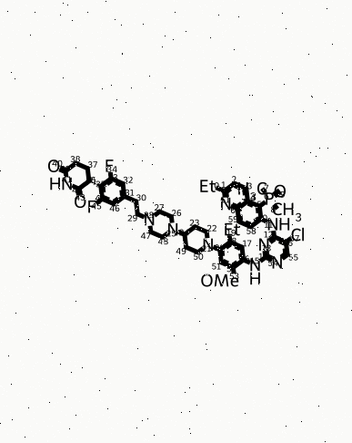 CCc1ccc2c(P(C)(C)=O)c(Nc3nc(Nc4cc(CC)c(N5CCC(N6CCN(CCc7cc(F)c([C@H]8CCC(=O)NC8=O)c(F)c7)CC6)CC5)cc4OC)ncc3Cl)ccc2n1